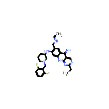 C=CNCc1cc(C(=N)c2cnc(CC)nc2)c(N)cc1NC1CCCN(Cc2c(F)cccc2F)C1